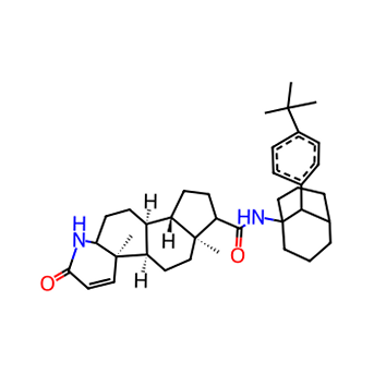 CC(C)(C)c1ccc(C2C3CCCC2(NC(=O)C2CC[C@H]4[C@@H]5CCC6NC(=O)C=C[C@]6(C)[C@@H]5CC[C@]24C)CCC3)cc1